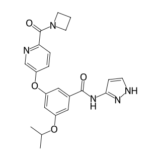 CC(C)Oc1cc(Oc2ccc(C(=O)N3CCC3)nc2)cc(C(=O)Nc2cc[nH]n2)c1